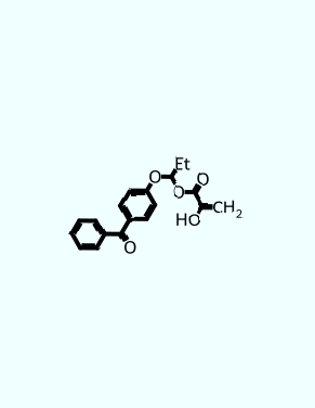 C=C(O)C(=O)OC(CC)Oc1ccc(C(=O)c2ccccc2)cc1